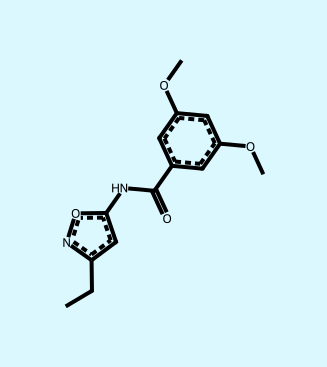 CCc1cc(NC(=O)c2cc(OC)cc(OC)c2)on1